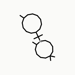 CC1CCCCCCC(C(C)(C)N2CCCCC(C)(C)CCCCC2C)CCCC1